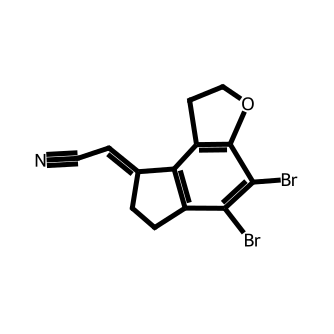 N#CC=C1CCc2c(Br)c(Br)c3c(c21)CCO3